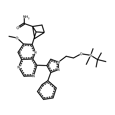 COc1cc2ncnc(-c3cn(CCO[Si](C)(C)C(C)(C)C)nc3-c3ccccc3)c2nc1C1C2CC1(C(N)=O)C2